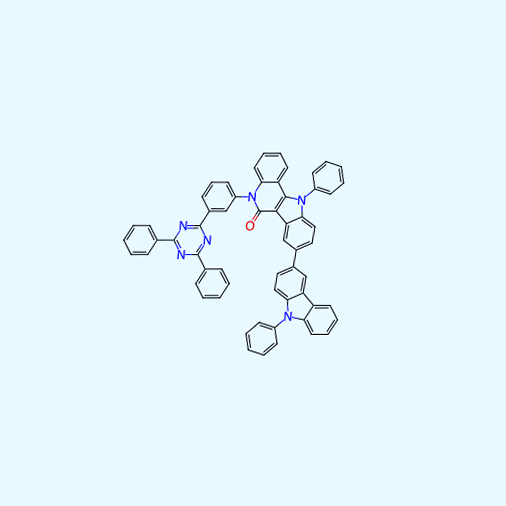 O=c1c2c3cc(-c4ccc5c(c4)c4ccccc4n5-c4ccccc4)ccc3n(-c3ccccc3)c2c2ccccc2n1-c1cccc(-c2nc(-c3ccccc3)nc(-c3ccccc3)n2)c1